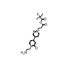 NCCn1ccc(-c2cc[n+](CCC(=O)OC(=O)C(F)(F)F)nc2)cc1=O